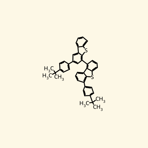 CC(C)(C)c1ccc(-c2cc(-c3cccc4sc5c(-c6ccc(C(C)(C)C)cc6)cccc5c34)c3sc4ccccc4c3c2)cc1